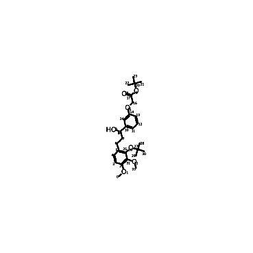 COc1ccc(CC[C@@H](O)c2cccc(OCC(=O)OC(C)(C)C)c2)c(OC(C)(C)C)c1OC